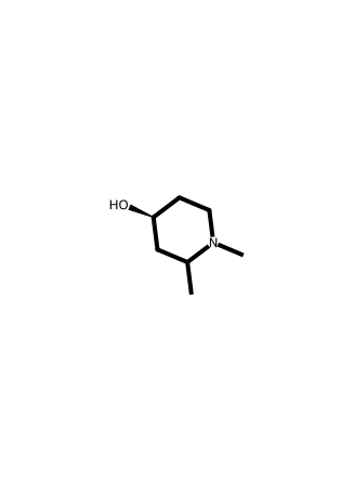 CC1C[C@@H](O)CCN1C